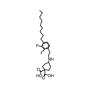 CCCCCCCCCc1ccc(CCNC2CCC(C(=O)O)(C(=O)O)CC2)c(F)c1F